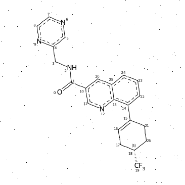 O=C(NCc1cnccn1)c1cnc2c(C3=CC[C@@H](C(F)(F)F)CC3)cccc2c1